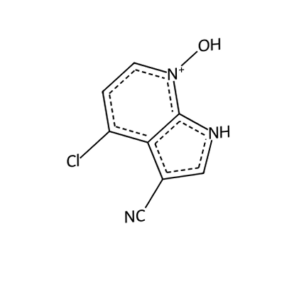 N#Cc1c[nH]c2c1c(Cl)cc[n+]2O